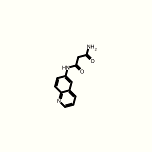 NC(=O)CC(=O)Nc1ccc2ncccc2c1